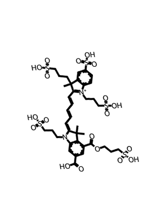 CC1(CCCS(=O)(=O)O)C(/C=C/C=C/C=C2/N(CCCS(=O)(=O)O)c3cc(C(=O)O)cc(C(=O)OCCCS(=O)(=O)O)c3C2(C)C)=[N+](CCCS(=O)(=O)O)c2ccc(S(=O)(=O)O)cc21